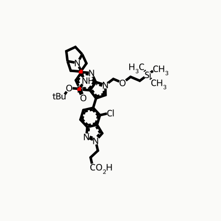 CC(C)(C)OC(=O)NC1CC2CCC(C1)N2c1cnc2c(-c3ccc4nn(CCC(=O)O)cc4c3Cl)cn(COCC[Si](C)(C)C)c2n1